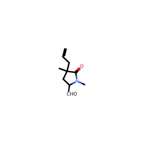 C=CCC1(C)CC(C=O)N(C)C1=O